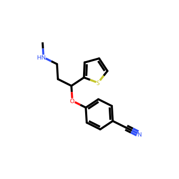 CNCCC(Oc1ccc(C#N)cc1)c1cccs1